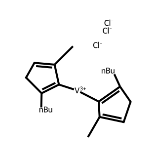 CCCCC1=[C]([V+3][C]2=C(CCCC)CC=C2C)C(C)=CC1.[Cl-].[Cl-].[Cl-]